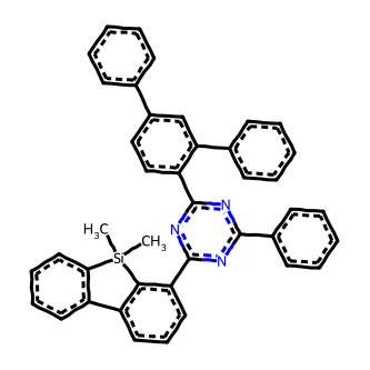 C[Si]1(C)c2ccccc2-c2cccc(-c3nc(-c4ccccc4)nc(-c4ccc(-c5ccccc5)cc4-c4ccccc4)n3)c21